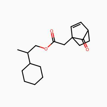 CC(COC(=O)CC12C=CC(CC1)C2=O)C1CCCCC1